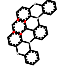 c1cnc(-c2c(N3c4ccccc4Oc4ccccc43)cccc2N2c3ccccc3Oc3ccccc32)nc1